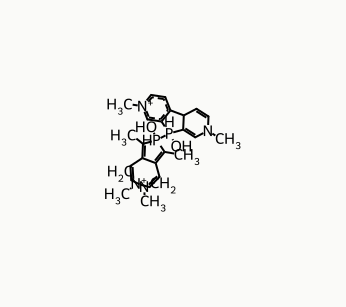 C=[N+](C)/C=C\C1=C(C)[PH](O)([PH]2(O)C3=CN(C)C=CC3c3cc[n+](C)cc32)C(C)=C1/C=C\[N+](=C)C